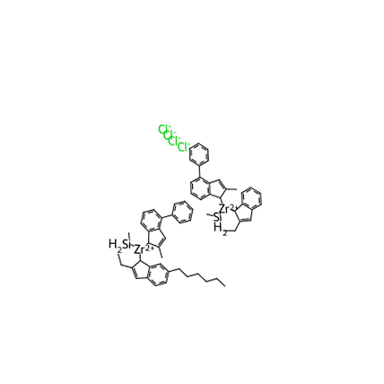 CCC1=Cc2ccccc2[CH]1[Zr+2]([SiH2]C)[CH]1C(C)=Cc2c(-c3ccccc3)cccc21.CCCCCCc1ccc2c(c1)[CH]([Zr+2]([SiH2]C)[CH]1C(C)=Cc3c(-c4ccccc4)cccc31)C(CC)=C2.[Cl-].[Cl-].[Cl-].[Cl-]